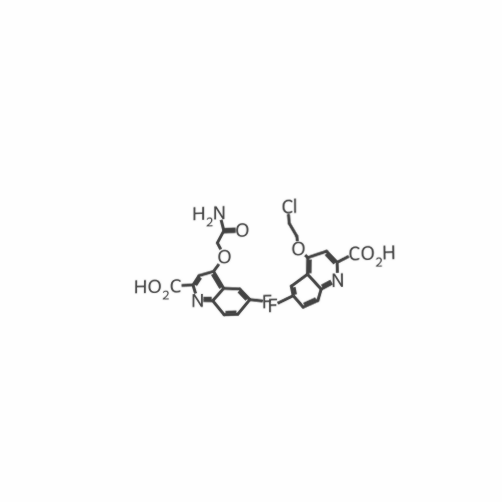 NC(=O)COc1cc(C(=O)O)nc2ccc(F)cc12.O=C(O)c1cc(OCCCl)c2cc(F)ccc2n1